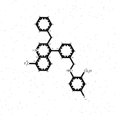 O=C(O)c1cc(F)ccc1NCc1cccc(-c2c(Cc3ccccc3)cnc3c(C(F)(F)F)cccc23)c1